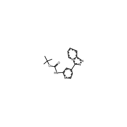 CC(C)(C)OC(=O)Nc1cc(-c2nnc3ccccn23)ccn1